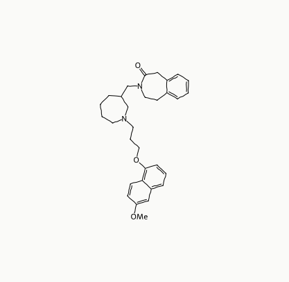 COc1ccc2c(OCCCN3CCCCC(CN4CCc5ccccc5CC4=O)C3)cccc2c1